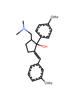 COc1ccc(C2(O)/C(=C/c3cccc(OC)c3)CCC2CN(C)C)cc1